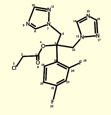 O=C(CCl)OC(Cn1cncn1)(Cn1cncn1)c1ccc(F)cc1F